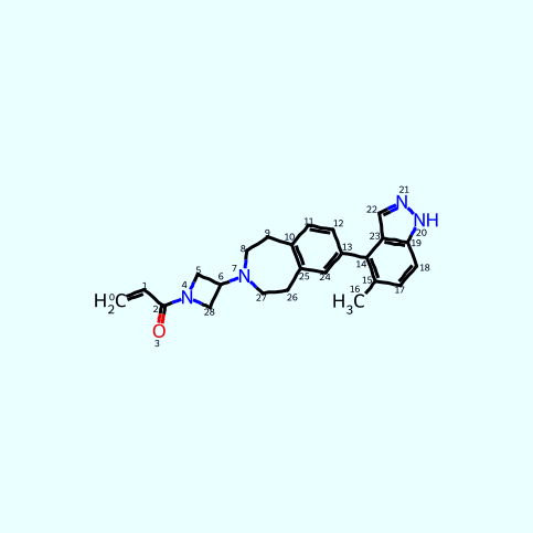 C=CC(=O)N1CC(N2CCc3ccc(-c4c(C)ccc5[nH]ncc45)cc3CC2)C1